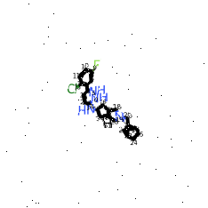 N=C(/C=C\C(=N)c1cc(F)ccc1Cl)N[C@H]1CC2CN(CC3CC4C=CC3C4)C[C@@H]2C1